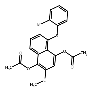 COc1cc(OC(C)=O)c2c(Sc3ccccc3Br)cccc2c1OC(C)=O